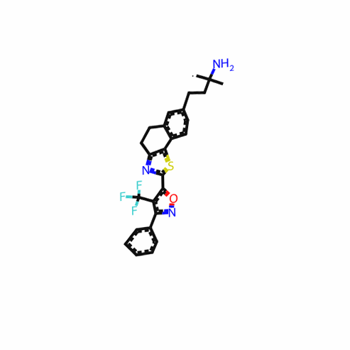 [CH2]C(C)(N)CCc1ccc2c(c1)CCc1nc(-c3onc(-c4ccccc4)c3C(F)(F)F)sc1-2